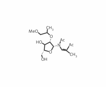 COCC(C)O[C@H]1C(O)[C@@H](CO)O[C@H]1N(/C=C(/C)C(C)=O)C(C)=O